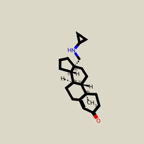 C[C@]12CCC(=O)C=C1CC[C@H]1[C@@H]3CCC[C@@]3(CNC3CC3)CC[C@@H]12